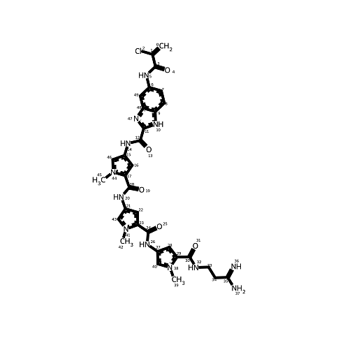 C=C(Cl)C(=O)Nc1ccc2[nH]c(C(=O)Nc3cc(C(=O)Nc4cc(C(=O)Nc5cc(C(=O)NCCC(=N)N)n(C)c5)n(C)c4)n(C)c3)nc2c1